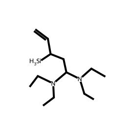 C=CC([SiH3])CC(N(CC)CC)N(CC)CC